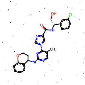 Cc1cnc(NC2CCOc3ccccc32)nc1-n1cnc(C(=O)N[C@H](CO)c2cccc(Cl)c2)c1